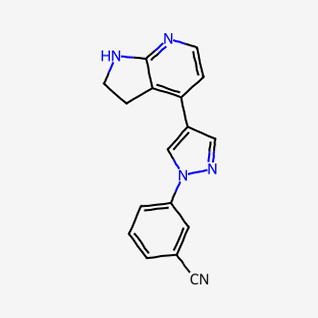 N#Cc1cccc(-n2cc(-c3ccnc4c3CCN4)cn2)c1